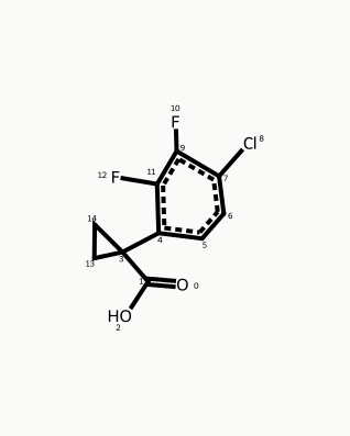 O=C(O)C1(c2ccc(Cl)c(F)c2F)CC1